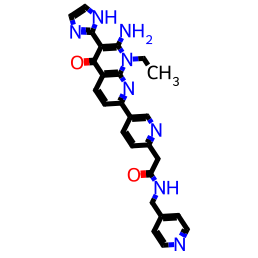 CCn1c(N)c(-c2ncc[nH]2)c(=O)c2ccc(-c3ccc(CC(=O)NCc4ccncc4)nc3)nc21